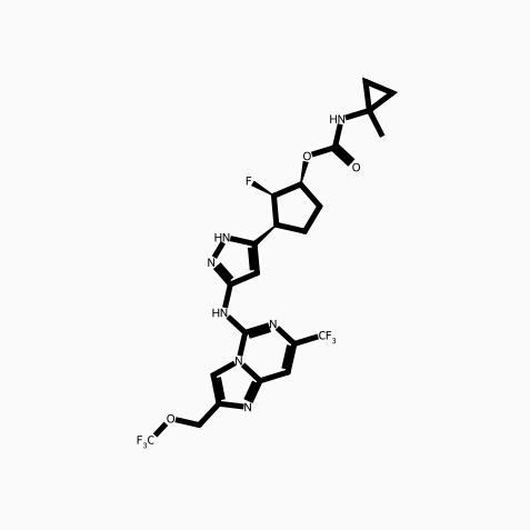 CC1(NC(=O)O[C@H]2CC[C@@H](c3cc(Nc4nc(C(F)(F)F)cc5nc(COC(F)(F)F)cn45)n[nH]3)[C@H]2F)CC1